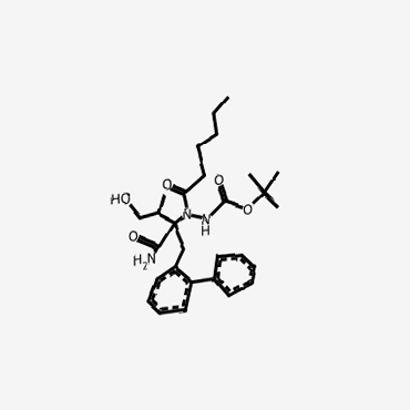 CCCCCC(=O)N(NC(=O)OC(C)(C)C)C(Cc1ccccc1-c1ccccc1)(C(N)=O)C(C)CO